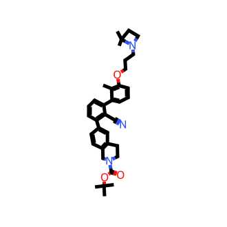 Cc1c(OCCCN2CCC2(C)C)cccc1-c1cccc(-c2ccc3c(c2)CCN(C(=O)OC(C)(C)C)C3)c1C#N